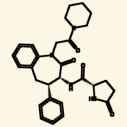 O=C1CC[C@@H](C(=O)N[C@H]2C(=O)N(CC(=O)N3CCCCC3)c3ccccc3C[C@H]2c2ccccc2)N1